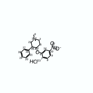 CN1CC[C@H](Oc2cccc([N+](=O)[O-])c2)[C@@H](c2ccccc2)C1.Cl